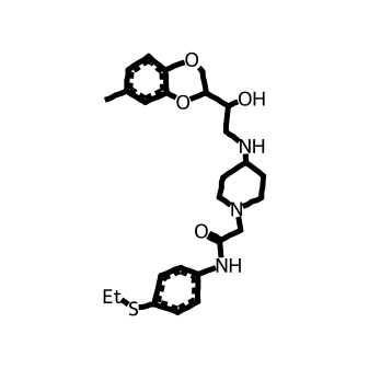 CCSc1ccc(NC(=O)CN2CCC(NCC(O)C3COc4ccc(C)cc4O3)CC2)cc1